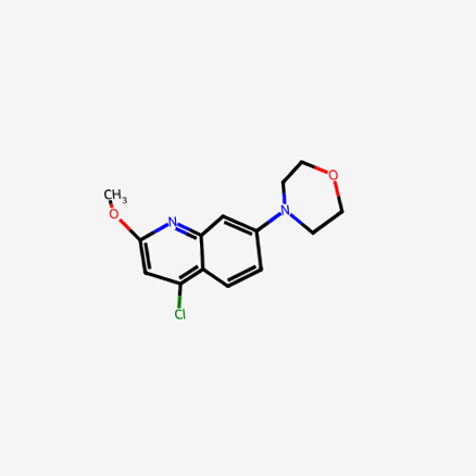 COc1cc(Cl)c2ccc(N3CCOCC3)cc2n1